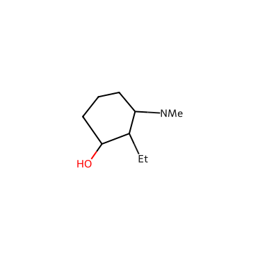 CCC1C(O)CCCC1NC